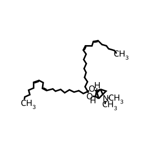 CCCCC/C=C\C/C=C\CCCCCCCCC1(CCCCCCCC/C=C\C/C=C\CCCCC)O[C@@H]2C3CC4(CC34N(C)C)[C@H]2O1